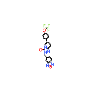 O=c1n(Cc2ccc3nonc3c2)nc2ccc(-c3ccc(OC(F)(F)F)cc3)cn12